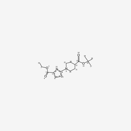 CCOC(=O)c1csc(N2CCC(C(=O)OC(C)(C)C)CC2)n1